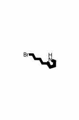 BrCCCCc1ccc[nH]1